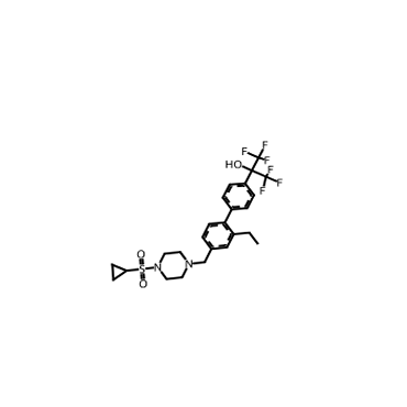 CCc1cc(CN2CCN(S(=O)(=O)C3CC3)CC2)ccc1-c1ccc(C(O)(C(F)(F)F)C(F)(F)F)cc1